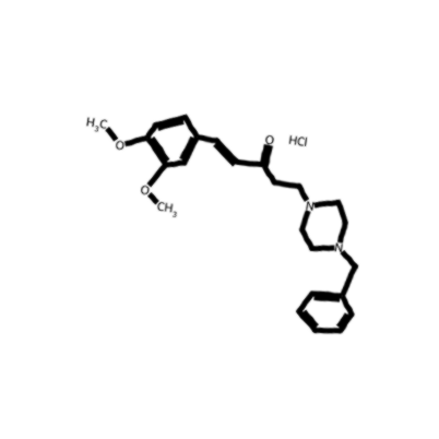 COc1ccc(C=CC(=O)CCN2CCN(Cc3ccccc3)CC2)cc1OC.Cl